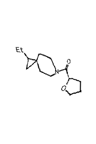 CCC1CC12CCN(C(=O)[C@H]1CCCO1)CC2